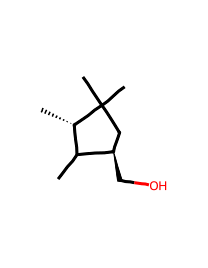 CC1[C@H](CO)CC(C)(C)[C@H]1C